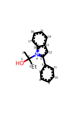 CCC(C)(O)n1c(-c2ccccc2)cc2ccccc21